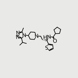 Cc1nnc(C(C)C)n1C1CCN(CC[C@H](NC(=O)C2CCCC2)c2cccs2)CC1